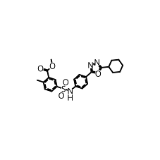 COC(=O)c1cc(S(=O)(=O)Nc2ccc(-c3nnc(C4CCCCC4)o3)cc2)ccc1C